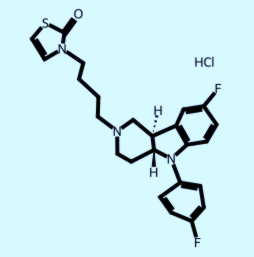 Cl.O=c1sccn1CCCCN1CC[C@@H]2[C@@H](C1)c1cc(F)ccc1N2c1ccc(F)cc1